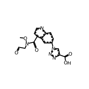 CON(CC=O)C(=O)c1ccnc2ccc(-n3cc(C(=O)O)nn3)cc12